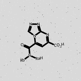 O=C(O)c1cc(C(=O)[N]([Rb])[RaH])n2cnnc2n1